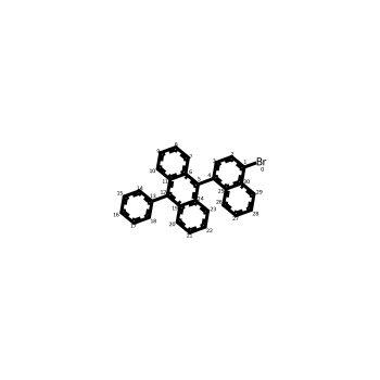 Brc1ccc(-c2c3ccccc3c(-c3ccccc3)c3ccccc23)c2ccccc12